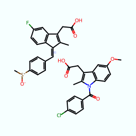 CC1=C(CC(=O)O)c2cc(F)ccc2/C1=C\c1ccc([S+](C)[O-])cc1.COc1ccc2c(c1)c(CC(=O)O)c(C)n2C(=O)c1ccc(Cl)cc1